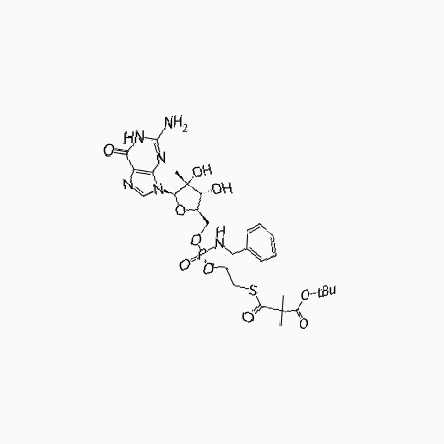 CC(C)(C)OC(=O)C(C)(C)C(=O)SCCOP(=O)(NCc1ccccc1)OC[C@H]1O[C@@H](n2cnc3c(=O)[nH]c(N)nc32)[C@](C)(O)[C@@H]1O